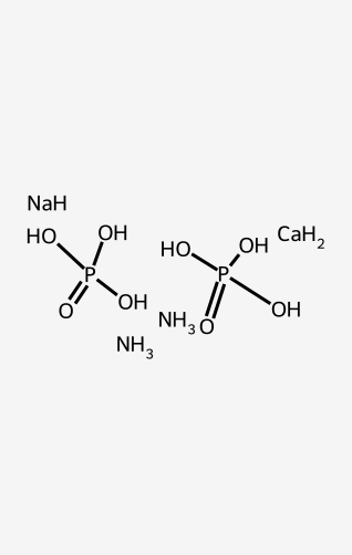 N.N.O=P(O)(O)O.O=P(O)(O)O.[CaH2].[NaH]